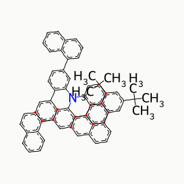 CC(C)(C)c1cc(-c2cccc3cccc(-c4ccccc4N(c4cc(-c5cccc6ccccc56)ccc4-c4ccccc4)c4cc(-c5cccc6ccccc56)ccc4-c4ccccc4)c23)cc(C(C)(C)C)c1